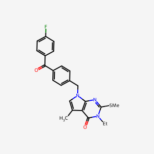 CCn1c(SC)nc2c(c(C)cn2Cc2ccc(C(=O)c3ccc(F)cc3)cc2)c1=O